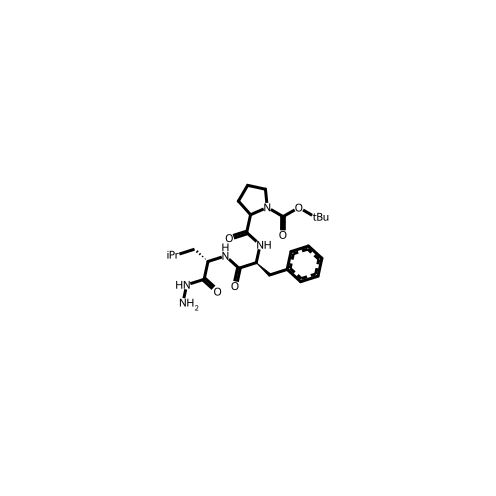 CC(C)C[C@H](NC(=O)[C@H](Cc1ccccc1)NC(=O)C1CCCN1C(=O)OC(C)(C)C)C(=O)NN